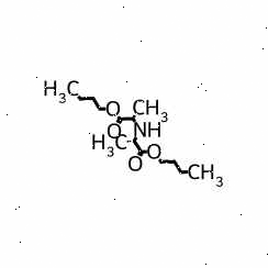 CCCCOC(=O)[C@H](C)N[C@H](C)C(=O)OCCCC